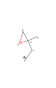 CC(=O)CC1(C)CO1